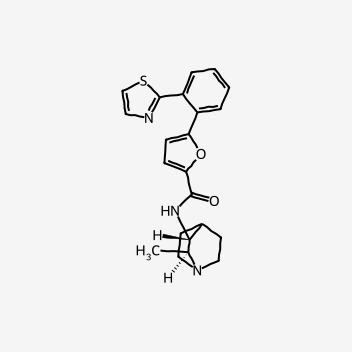 C[C@H]1[C@H](NC(=O)c2ccc(-c3ccccc3-c3nccs3)o2)C2CCN1CC2